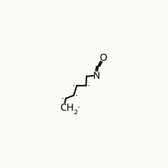 [CH2][CH][CH][CH][CH]CN=C=O